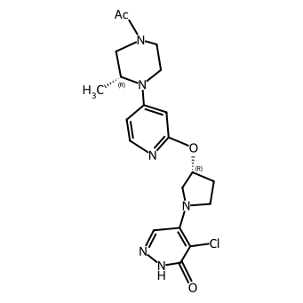 CC(=O)N1CCN(c2ccnc(O[C@@H]3CCN(c4cn[nH]c(=O)c4Cl)C3)c2)[C@H](C)C1